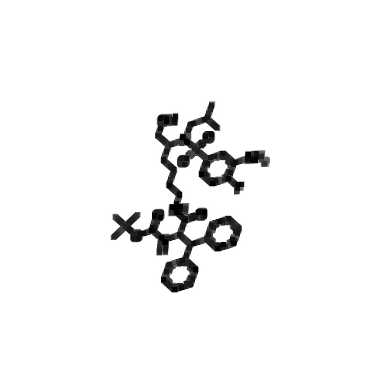 CC(C)CN(C(CO)CCCCNC(=O)C(NC(=O)OC(C)(C)C)C(c1ccccc1)c1ccccc1)S(=O)(=O)c1ccc(F)c(N)c1